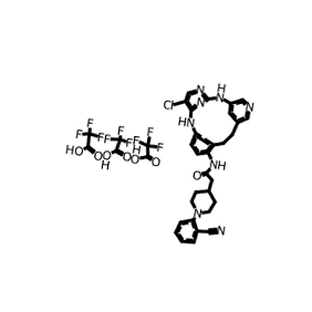 N#Cc1ccccc1N1CCC(CC(=O)Nc2ccc3cc2CCc2cncc(c2)Nc2ncc(Cl)c(n2)N3)CC1.O=C(O)C(F)(F)F.O=C(O)C(F)(F)F.O=C(O)C(F)(F)F